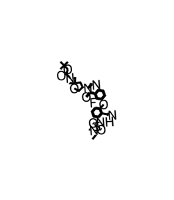 CCN(C)S(=O)(=O)Nc1ccc(F)c(Oc2ccc3ncn([C@@H]4COC5(C4)CN(C(=O)OC(C)(C)C)C5)c(=O)c3c2)c1C#N